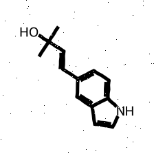 CC(C)(O)C=Cc1ccc2[nH]ccc2c1